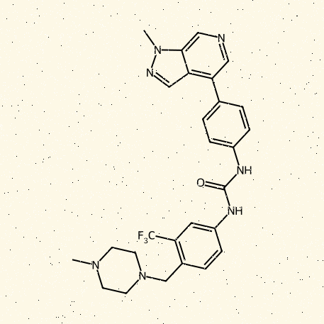 CN1CCN(Cc2ccc(NC(=O)Nc3ccc(-c4cncc5c4cnn5C)cc3)cc2C(F)(F)F)CC1